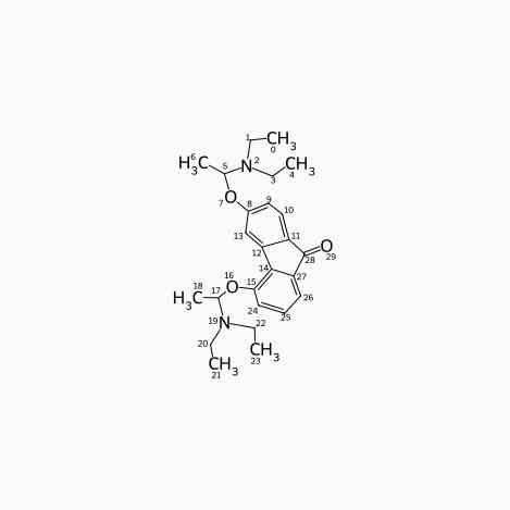 CCN(CC)C(C)Oc1ccc2c(c1)-c1c(OC(C)N(CC)CC)cccc1C2=O